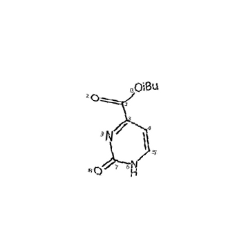 CC(C)COC(=O)c1cc[nH]c(=O)n1